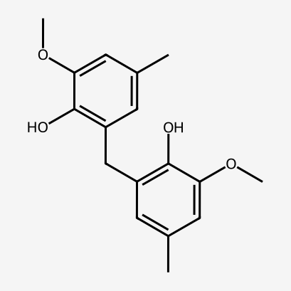 COc1cc(C)cc(Cc2cc(C)cc(OC)c2O)c1O